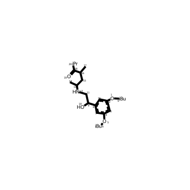 CCC(C)Oc1cc(OC(C)CC)cc(C(O)CNC(C)CC(C)C(=O)C(C)C)c1